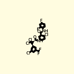 O=C(Nc1ccc(F)cc1F)c1cc(NC(=O)[C@@H]2[C@@H](c3cc(Cl)cc(C(F)F)c3)C2(Cl)Cl)ccc1Cl